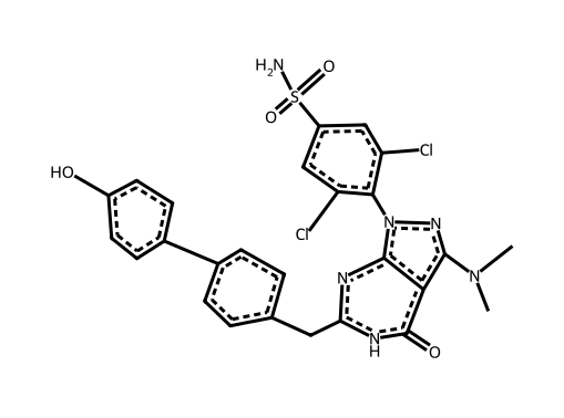 CN(C)c1nn(-c2c(Cl)cc(S(N)(=O)=O)cc2Cl)c2nc(Cc3ccc(-c4ccc(O)cc4)cc3)[nH]c(=O)c12